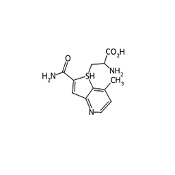 Cc1ccnc2c1[SH](CC(N)C(=O)O)C(C(N)=O)=C2